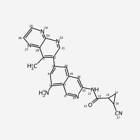 Cc1c(-c2cc(N)c3cnc(NC(=O)C4CC4C#N)cc3c2)cnc2nccnc12